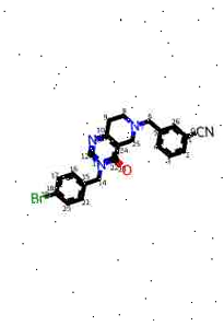 N#Cc1cccc(CN2CCc3ncn(Cc4ccc(Br)cc4)c(=O)c3C2)c1